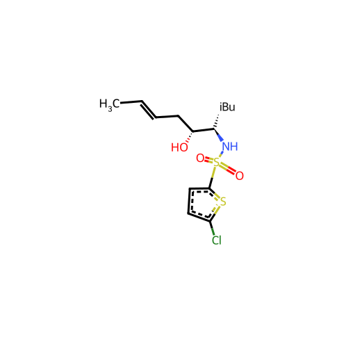 C/C=C/C[C@@H](O)[C@H](NS(=O)(=O)c1ccc(Cl)s1)[C@@H](C)CC